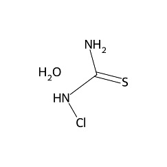 NC(=S)NCl.O